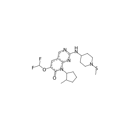 CSN1CCC(Nc2ncc3cc(OC(F)F)c(=O)n(C4CCCC4C)c3n2)CC1